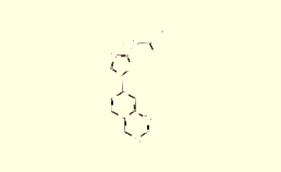 O=C(O)Nc1ncc(-c2ccc3cncnc3c2)s1